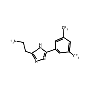 NCCc1nnc(-c2cc(C(F)(F)F)cc(C(F)(F)F)c2)[nH]1